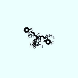 CCn1c(=O)/c(=C/C=C2/Sc3ccccc3N2C)s/c1=C/c1sc2ccc(F)cc2[n+]1C.CS(=O)(=O)[O-]